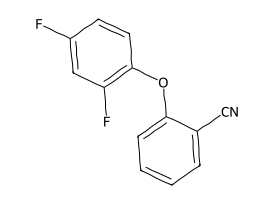 N#Cc1ccccc1Oc1ccc(F)cc1F